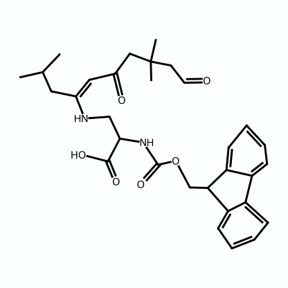 CC(C)CC(=CC(=O)CC(C)(C)CC=O)NCC(NC(=O)OCC1c2ccccc2-c2ccccc21)C(=O)O